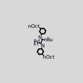 CCCCCCCCc1cccc(/N=C(CC)/C(CCCC)=N/c2cccc(CCCCCCCC)c2)c1.[Pd]